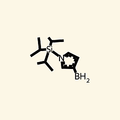 Bc1ccn([Si](C(C)C)(C(C)C)C(C)C)c1